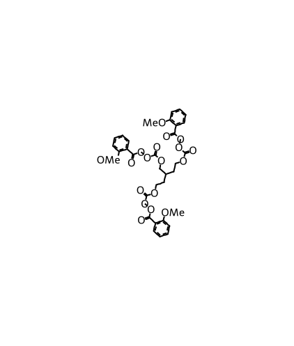 COc1ccccc1C(=O)OOC(=O)OCCC(CCOC(=O)OOC(=O)c1ccccc1OC)COC(=O)OOC(=O)c1ccccc1OC